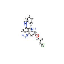 Nc1cc(Nc2c3ccccc3nc3ccccc23)cc(OCCCCl)c1